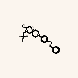 O=C1COC2(CCN(c3ccc(OCc4ccccc4)cc3)CC2)CN1CC(F)(F)F